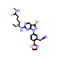 CC[C@@H](CCCC(=O)NC)Nc1ncc2c(Br)nn(-c3ccc(-c4ncco4)c(CC#N)c3)c2n1